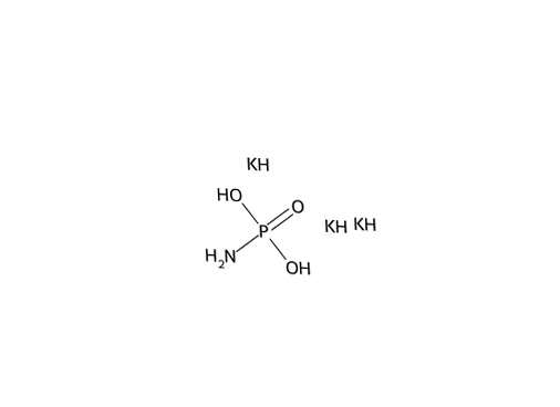 NP(=O)(O)O.[KH].[KH].[KH]